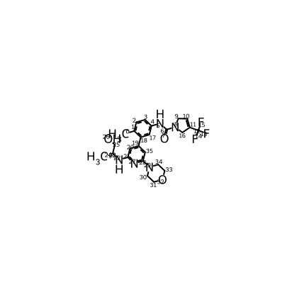 Cc1ccc(NC(=O)N2CC=C(C(F)(F)F)C2)cc1-c1cc(N[C@H](C)CO)nc(N2CCOCC2)c1